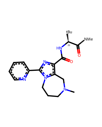 CNC(=O)[C@@H](NC(=O)c1nc(-c2ccccn2)n2c1CN(C)CCC2)C(C)(C)C